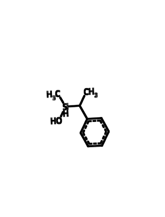 CC(c1ccccc1)[SiH](C)O